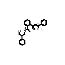 N=C(/C=C(\N)c1ccccc1)c1ccccc1C(=O)NCC(CO)c1ccccc1